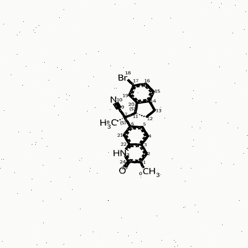 Cc1cc2ccc([C@@](C)(C#N)[C@H]3CCc4ccc(Br)cc43)cc2[nH]c1=O